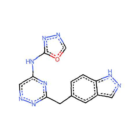 c1nnc(Nc2cnnc(Cc3ccc4[nH]ncc4c3)n2)o1